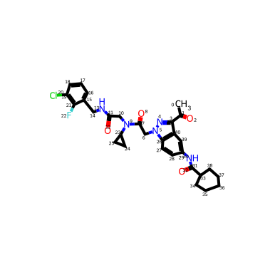 CC(=O)c1nn(CC(=O)N(CC(=O)NCc2cccc(Cl)c2F)C2CC2)c2ccc(NC(=O)C3CCCCC3)cc12